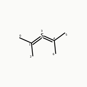 CC(C)=S=C(C)C